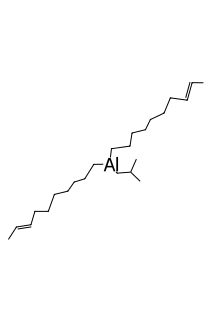 CC=CCCCCCC[CH2][Al]([CH2]CCCCCCC=CC)[CH2]C(C)C